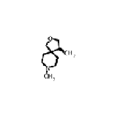 C=C1COCC12CCN(C)CC2